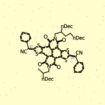 CCCCCCCCCCCCC(CCCCCCCCCC)Cn1c(=O)c2c3s/c(=C(\C#N)c4ccccc4)sc3c3c(=O)n(CC(C)CCCCCCCCCC)c(=O)c4c5s/c(=C(\C#N)c6ccccc6)sc5c(c1=O)c2c34